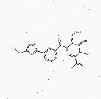 C=C(C)C(=O)N(CCC)C(=N)/C(=C\NC)NC(=O)c1cccc(-n2cc(CN)cn2)n1